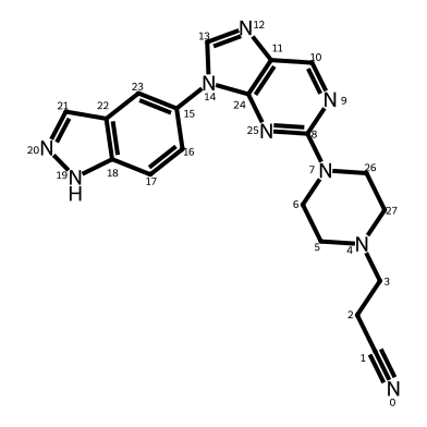 N#CCCN1CCN(c2ncc3ncn(-c4ccc5[nH]ncc5c4)c3n2)CC1